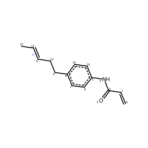 C=CC(=O)Nc1ccc(CC/C=C/C)cc1